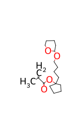 C=C(C)C(=O)OC1(CCCCOC2CCCCO2)CCCC1